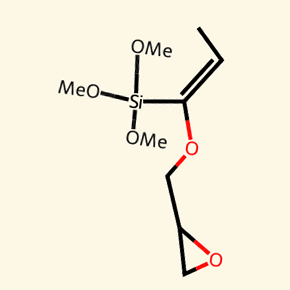 CC=C(OCC1CO1)[Si](OC)(OC)OC